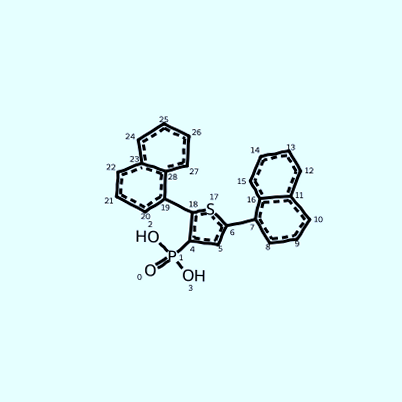 O=P(O)(O)c1cc(-c2cccc3ccccc23)sc1-c1cccc2ccccc12